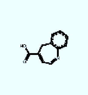 O=C(O)C1=CC=Nc2ccccc2C1